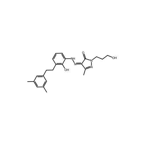 CC1=NN(CCCO)C(=O)C1=NNc1cccc(CCc2cc(C)cc(C)c2)c1O